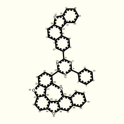 c1ccc(-c2nc(-c3ccc4c(ccc5oc6ccccc6c54)c3)nc(-c3ccc4oc5ccc6oc7cc8ccccc8c8oc3c4c5c6c78)n2)cc1